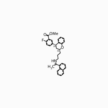 COC(=O)c1cc([C@@H]2C[C@H](CCCN[C@H](C)c3cccc4ccccc34)Oc3ccccc32)ccc1F